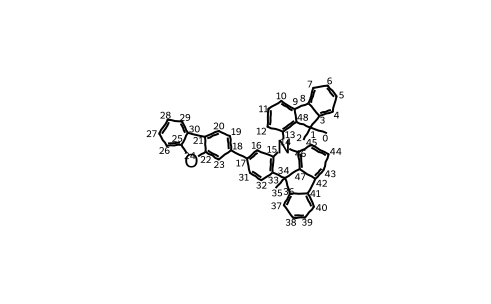 CC1(C)c2ccccc2-c2cccc(N3c4cc(-c5ccc6c(c5)oc5ccccc56)ccc4C4(C)c5ccccc5-c5cccc3c54)c21